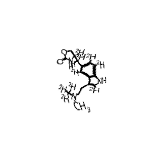 [2H]c1[nH]c2c([2H])c([2H])c(C([2H])([2H])[C@@]3([2H])COC(=O)N3)c([2H])c2c1CCN(C)C([2H])([2H])[2H]